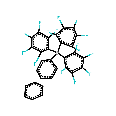 Fc1c(F)c(F)c([B-](c2ccccc2)(c2c(F)c(F)c(F)c(F)c2F)c2c(F)c(F)c(F)c(F)c2F)c(F)c1F.c1ccccc1